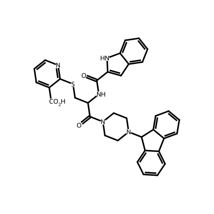 O=C(NC(CSc1ncccc1C(=O)O)C(=O)N1CCN(C2c3ccccc3-c3ccccc32)CC1)c1cc2ccccc2[nH]1